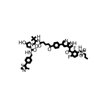 CCCS(=O)(=O)Nc1ccc(F)c(C(=O)c2c[nH]c3ncc(-c4ccc(C(=O)CCCC(=O)NC(C(=O)N5C[C@H](O)C[C@H]5C(=O)NCc5ccc(-c6scnc6C)cc5)C(C)(C)C)cc4)cc23)c1F